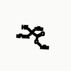 CCCCCC(S)(CCCC)C(=O)OCCCC